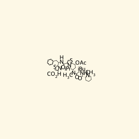 CC[C@H](C)[C@H](NC(=O)[C@H]1CCCCN1C)C(=O)N(C)[C@H](C[C@@H](OC(C)=O)c1nc(C(=O)NC(Cc2ccccc2)c2nc(C(=O)O)cs2)cs1)C(C)C